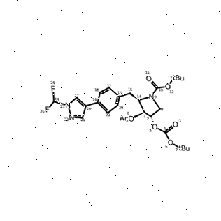 CC(=O)O[C@@H]1[C@@H](OC(=O)OC(C)(C)C)CN(C(=O)OC(C)(C)C)[C@@H]1Cc1ccc(-c2cnn(C(F)F)c2)cc1